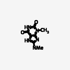 CNc1nc2c([nH]1)c(=O)[nH]c(=O)n2C